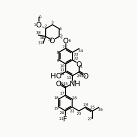 CO[C@@H]1CC[C@H](Oc2ccc3c(O)c(NC(=O)c4ccc(F)c(CC=C(C)C)c4)c(=O)oc3c2C)OC1(C)C